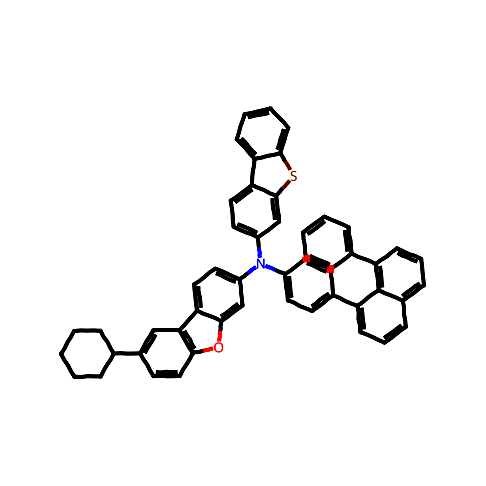 c1ccc(-c2cccc3cccc(-c4ccc(N(c5ccc6c(c5)oc5ccc(C7CCCCC7)cc56)c5ccc6c(c5)sc5ccccc56)cc4)c23)cc1